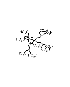 O=C(O)CN(CCN(CCN(CC(=O)O)CC(=O)O)[C@H](C(=O)O)[C@H](C(=O)O)N(CCN(CC(=O)O)CC(=O)O)CCN(CC(=O)O)CC(=O)O)CC(=O)O